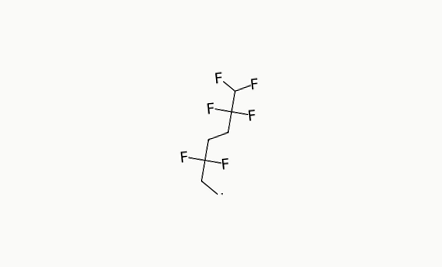 [CH2]CC(F)(F)CCC(F)(F)C(F)F